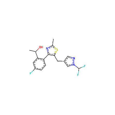 Cc1nc(-c2ccc(F)cc2C(C)O)c(Cc2cnn(C(F)F)c2)s1